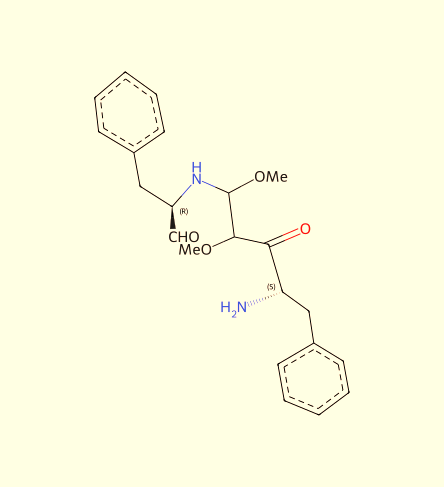 COC(N[C@@H](C=O)Cc1ccccc1)C(OC)C(=O)[C@@H](N)Cc1ccccc1